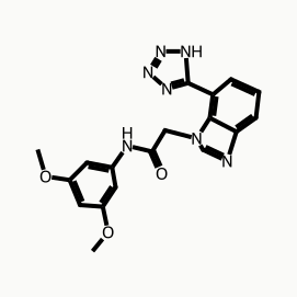 COc1cc(NC(=O)Cn2cnc3cccc(-c4nnn[nH]4)c32)cc(OC)c1